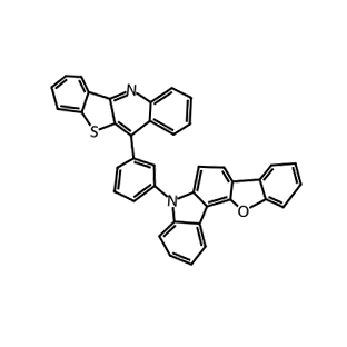 c1cc(-c2c3ccccc3nc3c2sc2ccccc23)cc(-n2c3ccccc3c3c4oc5ccccc5c4ccc32)c1